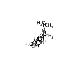 CC(C=NOCCN(C)C)=C[C@]1(O)CC[C@@]2(C)[C@H](CC[C@H]3[C@@H]4CCC[C@@]4(C)CC[C@@H]32)C1